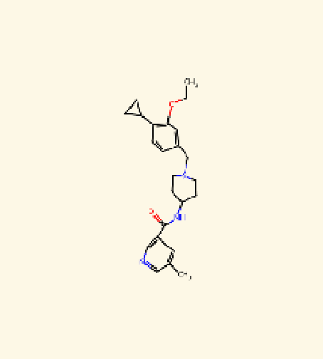 CCOc1cc(CN2CCC(NC(=O)c3cncc(C)c3)CC2)ccc1C1CC1